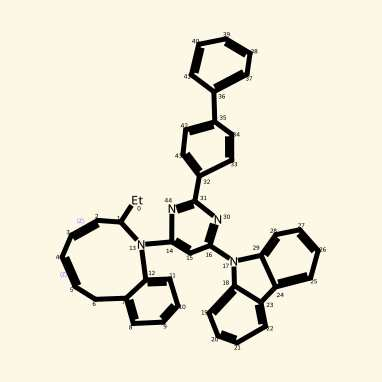 CCC1/C=C\C=C/Cc2ccccc2N1c1cc(-n2c3ccccc3c3ccccc32)nc(-c2ccc(-c3ccccc3)cc2)n1